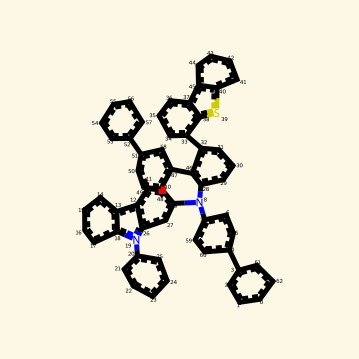 c1ccc(-c2ccc(N(c3ccc4c5ccccc5n(-c5ccccc5)c4c3)c3cccc(-c4cccc5c4sc4ccccc45)c3-c3cccc(-c4ccccc4)c3)cc2)cc1